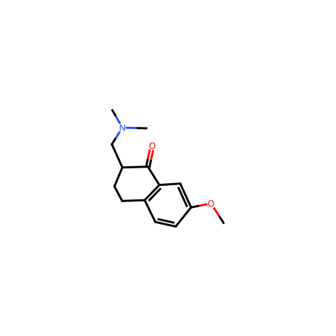 COc1ccc2c(c1)C(=O)C(CN(C)C)CC2